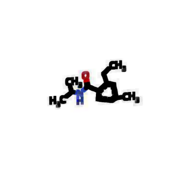 CCc1cc(C)ccc1C(=O)NC(C)C